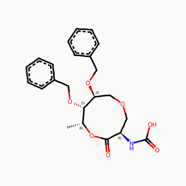 C[C@H]1OC(=O)[C@H](NC(=O)O)COC[C@H](OCc2ccccc2)[C@H]1OCc1ccccc1